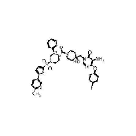 Cc1ccc(-c2ccc(S(=O)(=O)N3CC[C@@H](C(=O)N4CCC(O)(Cn5cnc(Oc6ccc(F)cc6)c(N)c5=O)CC4)[C@H](c4ccccc4)C3)s2)cn1